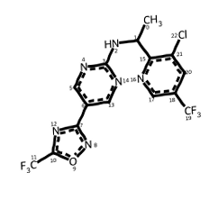 CC(Nc1ncc(-c2noc(C(F)(F)F)n2)cn1)c1ncc(C(F)(F)F)cc1Cl